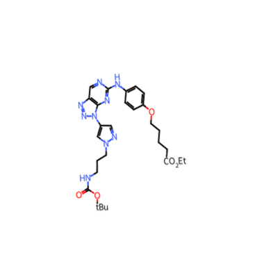 CCOC(=O)CCCCOc1ccc(Nc2ncc3nnn(-c4cnn(CCCNC(=O)OC(C)(C)C)c4)c3n2)cc1